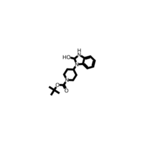 CC(C)(C)OC(=O)N1CCC(N2c3ccccc3NC2O)CC1